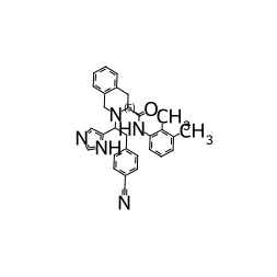 Cc1cccc(NC(=O)[C@@H]2Cc3ccccc3CN2C(Cc2ccc(C#N)cc2)c2cnc[nH]2)c1C